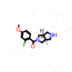 COc1ccc(C(=O)N2C[C@H]3CNC[C@@]3(C)C2)c(F)c1